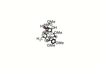 C=C(OC)C(=O)Nc1cc(OC)c(OC)cc1C(=O)O[C@H]1CC(O[C@@H]2C(=O)C(NC(=O)OC)=C3/C(=C\CS)[C@]2(O)C=C[C@@H]3O)O[C@@H](C)C1O